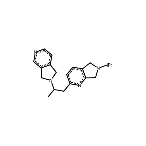 CC(C)N1Cc2ccc(CC(C)N3Cc4ccncc4C3)nc2C1